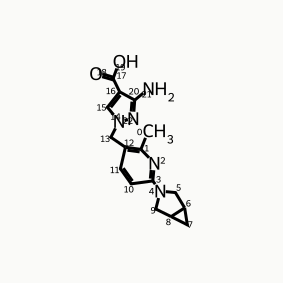 Cc1nc(N2CC3CC3C2)ccc1Cn1cc(C(=O)O)c(N)n1